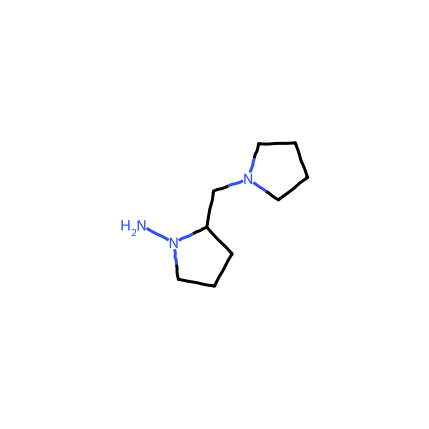 NN1CCCC1CN1CCCC1